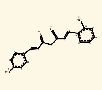 O=C(C=Cc1ccc(O)cc1)CC(=O)C=Cc1ccccc1O